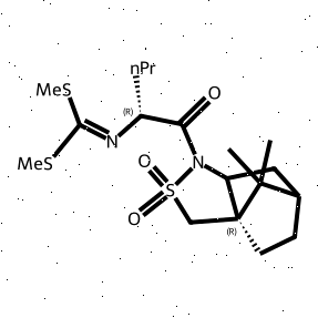 CCC[C@@H](N=C(SC)SC)C(=O)N1C2CC3CC[C@@]2(CS1(=O)=O)C3(C)C